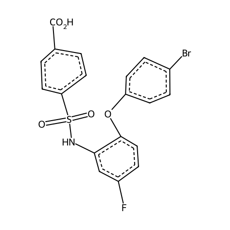 O=C(O)c1ccc(S(=O)(=O)Nc2cc(F)ccc2Oc2ccc(Br)cc2)cc1